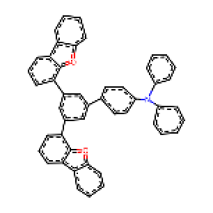 c1ccc(N(c2ccccc2)c2ccc(-c3cc(-c4cccc5c4oc4ccccc45)cc(-c4cccc5c4oc4ccccc45)c3)cc2)cc1